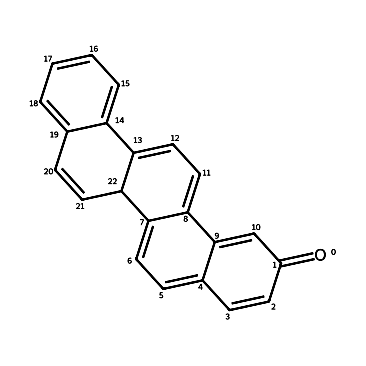 O=C1C=Cc2ccc3c(c2=C1)=CC=C1c2ccccc2C=CC13